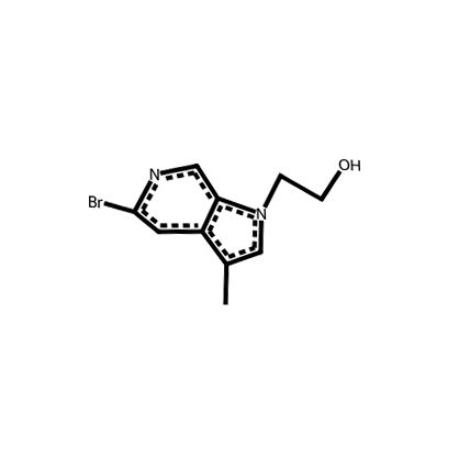 Cc1cn(CCO)c2cnc(Br)cc12